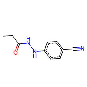 CCC(=O)NNc1ccc(C#N)cc1